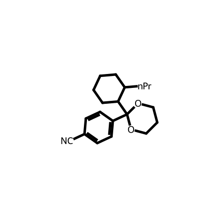 CCCC1CCCCC1C1(c2ccc(C#N)cc2)OCCCO1